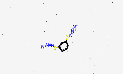 [N-]=[N+]=NSc1cccc(SN=[N+]=[N-])c1